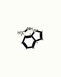 CN.c1ccc2sccc2c1